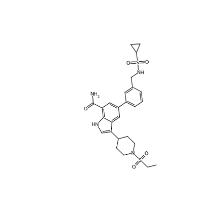 CCS(=O)(=O)N1CCC(c2c[nH]c3c(C(N)=O)cc(-c4cccc(CNS(=O)(=O)C5CC5)c4)cc23)CC1